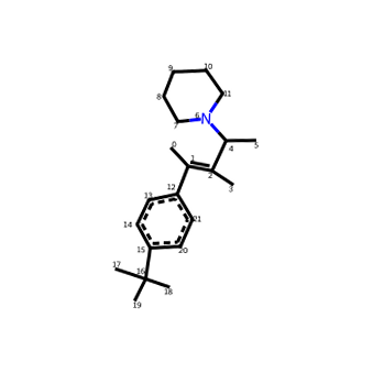 CC(=C(C)C(C)N1CCCCC1)c1ccc(C(C)(C)C)cc1